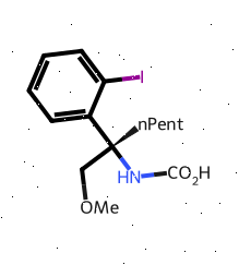 CCCCC[C@](COC)(NC(=O)O)c1ccccc1I